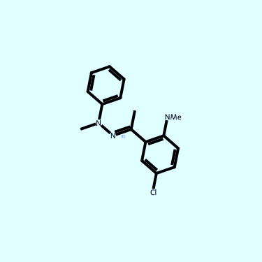 CNc1ccc(Cl)cc1/C(C)=N/N(C)c1ccccc1